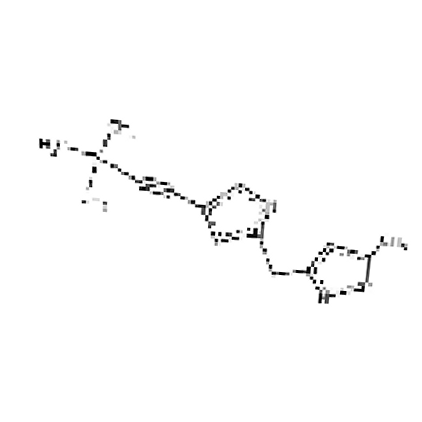 Cc1cc(Cn2cc(C#C[Si](C)(C)C)cn2)no1